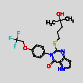 CC(C)(O)CCCSc1nc2cc[nH]c2c(=O)n1-c1ccc(OCC(F)(F)F)cc1